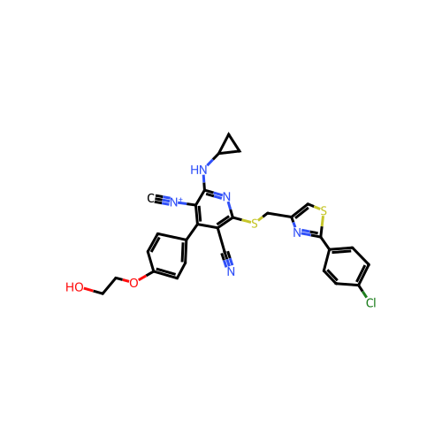 [C-]#[N+]c1c(NC2CC2)nc(SCc2csc(-c3ccc(Cl)cc3)n2)c(C#N)c1-c1ccc(OCCO)cc1